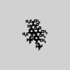 Cc1cc(NC(C(=O)OC(=O)C(Nc2ccc(OCC(F)(F)F)c(C)c2)C(C)C)C(C)C)ccc1OCC(F)(F)F